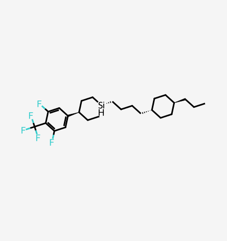 CCC[C@H]1CC[C@H](CCCC[Si@H]2CC[C@H](c3cc(F)c(C(F)(F)F)c(F)c3)CC2)CC1